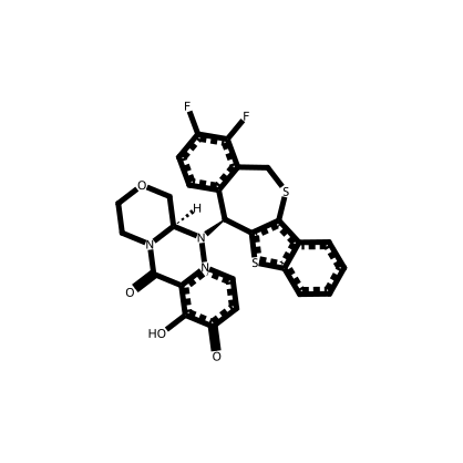 O=C1c2c(O)c(=O)ccn2N([C@H]2c3ccc(F)c(F)c3CSc3c2sc2ccccc32)[C@@H]2COCCN12